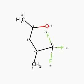 CC([O])CC(C)C(F)(F)F